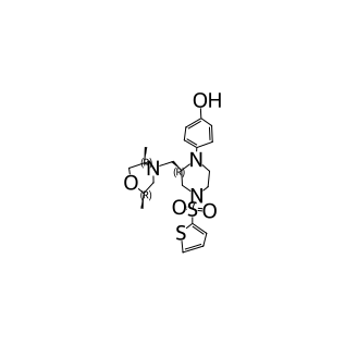 C[C@@H]1CN(C[C@@H]2CN(S(=O)(=O)c3cccs3)CCN2c2ccc(O)cc2)[C@H](C)CO1